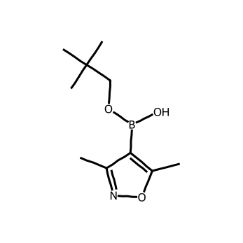 Cc1noc(C)c1B(O)OCC(C)(C)C